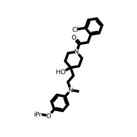 CC(C)Oc1ccc(N(C)CCC2(O)CCN(C(=O)Cc3ccccc3Cl)CC2)cc1